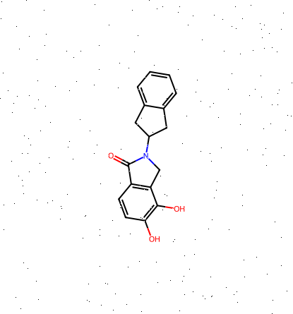 O=C1c2ccc(O)c(O)c2CN1C1Cc2ccccc2C1